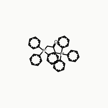 O=C(C[P+](c1ccccc1)(c1ccccc1)c1ccccc1)C[P+](c1ccccc1)(c1ccccc1)c1ccccc1